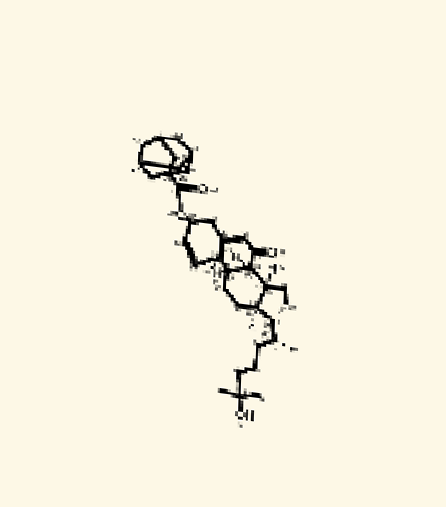 C[C@H](CCCC(C)(C)O)[C@H]1CC[C@H]2[C@@H]3C(=O)C=C4CC(OC(=O)C56CC7CC(CC(C7)C5)C6)C=C[C@]4(C)[C@H]3CC[C@]12C